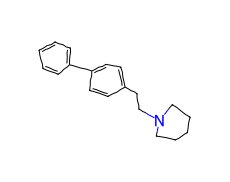 c1ccc(-c2ccc(CCN3CCCCC3)cc2)cc1